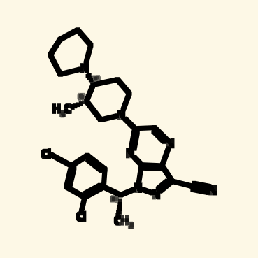 C[C@H](c1ccc(Cl)cc1Cl)n1nc(C#N)c2ncc(N3CC[C@@H](N4CCCCC4)[C@@H](C)C3)nc21